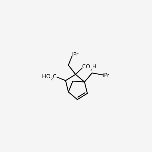 CC(C)CC12C=CC(C1)C(C(=O)O)C2(CC(C)C)C(=O)O